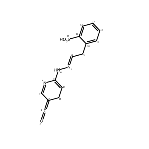 O=C=C1C=NC(NN=CCc2ccccc2S(=O)(=O)O)=CC1